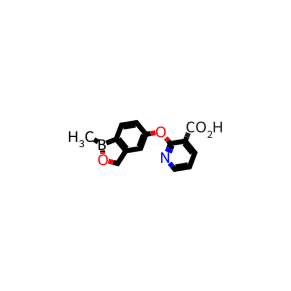 CB1OCc2cc(Oc3ncccc3C(=O)O)ccc21